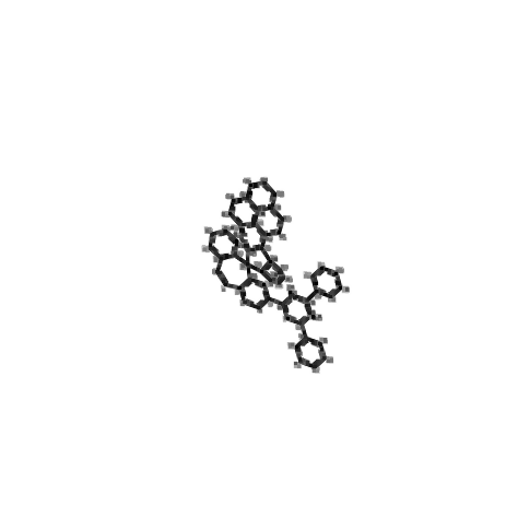 C1=Cc2ccc(-c3cc(-c4ccccc4)nc(-c4ccccc4)n3)cc2C2(c3ccccc31)c1ccccc1-c1c2cc2ccc3cccc4ccc1c2c34